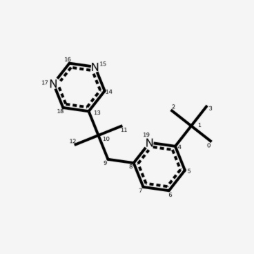 CC(C)(C)c1cccc(CC(C)(C)c2cncnc2)n1